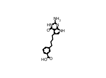 Nc1nc2[nH]cc(CCCCc3cccc(C(=O)O)c3)c2c(=O)[nH]1